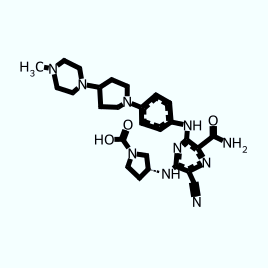 CN1CCN(C2CCN(c3ccc(Nc4nc(N[C@@H]5CCN(C(=O)O)C5)c(C#N)nc4C(N)=O)cc3)CC2)CC1